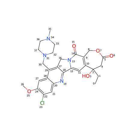 CCC1(O)CC(=O)OCc2c1cc1n(c2=O)Cc2c-1nc1cc(Cl)c(OC)cc1c2CN1CCN(C)CC1